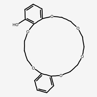 Oc1cccc2c1OCCCOc1ccccc1OCCOCCOCCO2